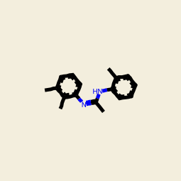 CC(=Nc1cccc(C)c1C)Nc1ccccc1C